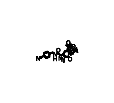 Cn1nc(C(=O)NCc2ccc(C#N)cc2)c2c1C(=O)N(CC1(S(=O)(=O)C3(C)COC3)CC1)CC2